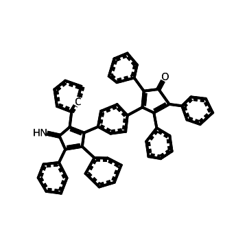 N=C1C(c2ccccc2)=C(c2ccccc2)C(c2ccc(C3=C(c4ccccc4)C(=O)C(c4ccccc4)=C3c3ccccc3)cc2)=C1c1ccccc1